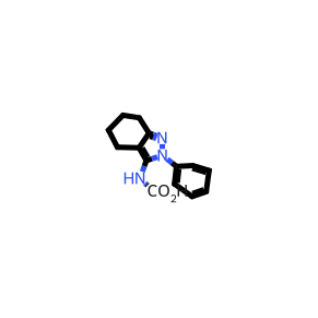 O=C(O)Nc1c2c(nn1-c1ccccc1)CCCC2